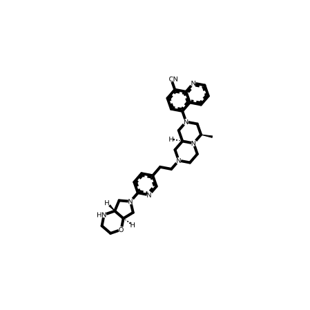 C[C@@H]1CN(c2ccc(C#N)c3ncccc23)C[C@@H]2CN(CCc3ccc(N4C[C@H]5NCCO[C@@H]5C4)nc3)CCN21